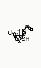 COc1ccc2nc3cc(Cl)ccc3c(Nc3ccc(O)c(CN4CCN(CCCN(C)C5Cc6ccccc6C5)CC4)c3)c2c1